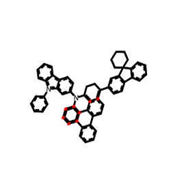 C1=C(c2ccc3c(c2)C2(CCCCC2)c2ccccc2-3)CCC(N(c2ccc3c4ccccc4n(-c4ccccc4)c3c2)c2ccccc2-c2ccccc2-c2ccccc2-c2ccccc2)=C1